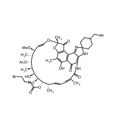 CO[C@H]1/C=C/O[C@@]2(C)Oc3c(C)c(O)c4c(c3C2=O)C2=NC3(CCN(CC(C)C)CC3)NC2=C(NC(=O)/C(C)=C\C=C\[C@H](C)[C@H](OC(=O)CCCBr)[C@@H](C)[C@@H](O)[C@@H](C)[C@H](OC(C)=O)[C@@H]1C)C4=O